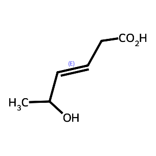 CC(O)/C=C/CC(=O)O